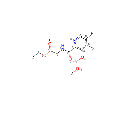 CCOC(=O)CNC(=O)c1ncc(C)c(C)c1OCOC